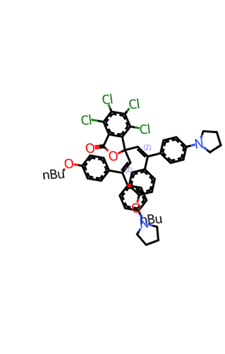 CCCCOc1ccc(/C(=C\C2(/C=C(\c3ccc(OCCCC)cc3)c3ccc(N4CCCC4)cc3)OC(=O)c3c(Cl)c(Cl)c(Cl)c(Cl)c32)c2ccc(N3CCCC3)cc2)cc1